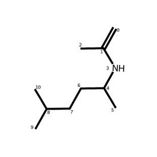 C=C(C)NC(C)CCC(C)C